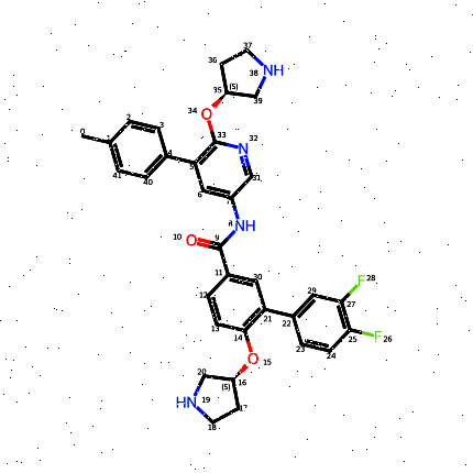 Cc1ccc(-c2cc(NC(=O)c3ccc(O[C@H]4CCNC4)c(-c4ccc(F)c(F)c4)c3)cnc2O[C@H]2CCNC2)cc1